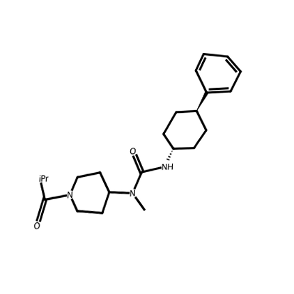 CC(C)C(=O)N1CCC(N(C)C(=O)N[C@H]2CC[C@H](c3ccccc3)CC2)CC1